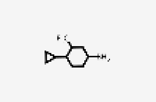 BC1CCC(C2CC2)C(C(F)(F)F)C1